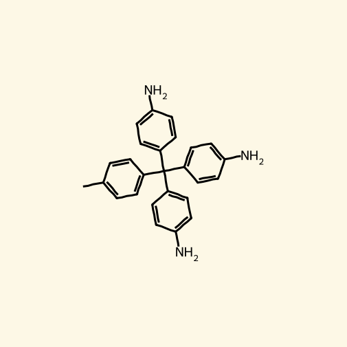 Cc1ccc(C(c2ccc(N)cc2)(c2ccc(N)cc2)c2ccc(N)cc2)cc1